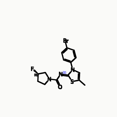 Cc1cn(-c2ccc(Br)cc2)/c(=N/C(=O)N2CC[C@@H](F)C2)s1